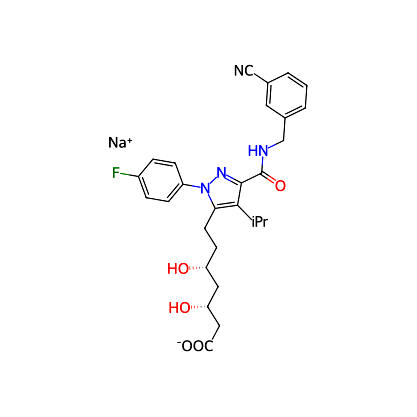 CC(C)c1c(C(=O)NCc2cccc(C#N)c2)nn(-c2ccc(F)cc2)c1CC[C@@H](O)C[C@@H](O)CC(=O)[O-].[Na+]